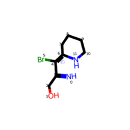 N=C(CO)/C(Br)=C1/CCCCN1